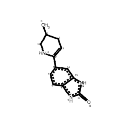 CC1CC=C(c2ccc3[nH]c(=O)[nH]c3c2)NC1